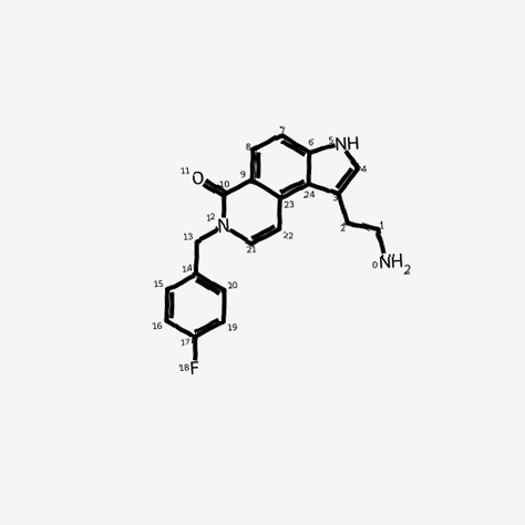 NCCc1c[nH]c2ccc3c(=O)n(Cc4ccc(F)cc4)ccc3c12